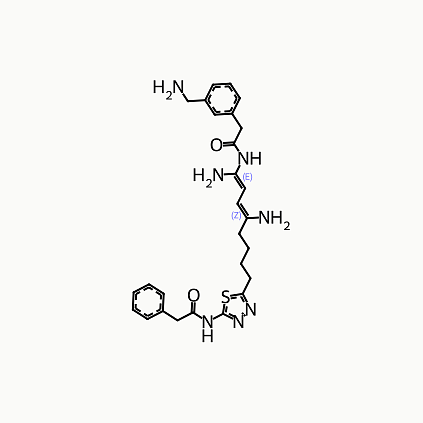 NCc1cccc(CC(=O)N/C(N)=C/C=C(\N)CCCCc2nnc(NC(=O)Cc3ccccc3)s2)c1